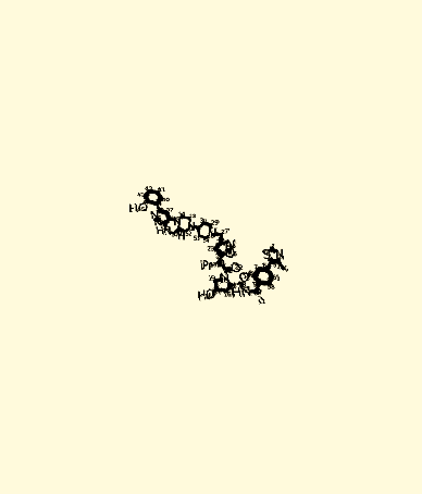 Cc1ncsc1-c1ccc([C@H](C)NC(=O)[C@@H]2C[C@@H](O)CN2C(=O)[C@@H](c2cc(CN3CCC(N4CCN5c6cc(-c7ccccc7O)nnc6NC[C@H]5C4)CC3)no2)C(C)C)cc1